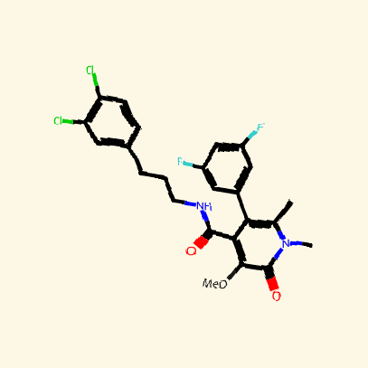 COc1c(C(=O)NCCCc2ccc(Cl)c(Cl)c2)c(-c2cc(F)cc(F)c2)c(C)n(C)c1=O